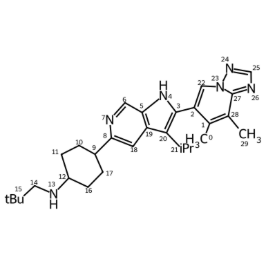 Cc1c(-c2[nH]c3cnc(C4CCC(NCC(C)(C)C)CC4)cc3c2C(C)C)cn2ncnc2c1C